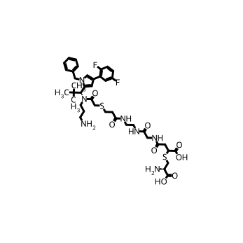 CC(C)(C)[C@H](c1cc(-c2cc(F)ccc2F)cn1Cc1ccccc1)N(CCCN)C(=O)CSCCC(=O)NCCNC(=O)CNC(=O)CC(SC[C@H](N)C(=O)O)C(=O)O